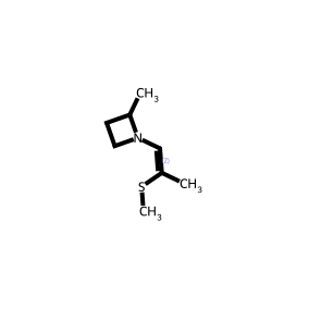 CS/C(C)=C\N1CCC1C